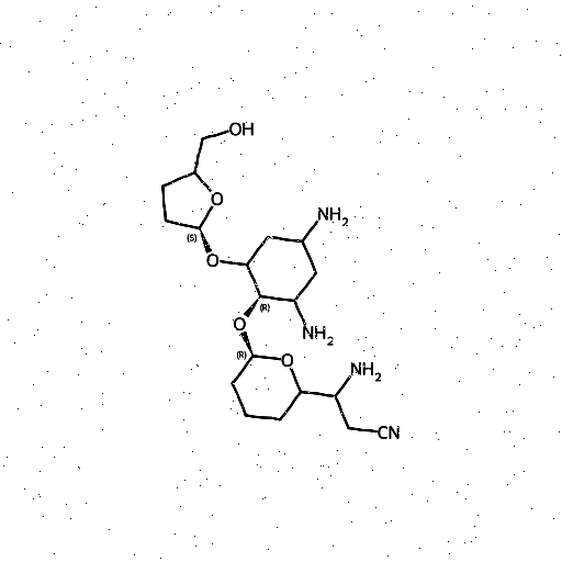 N#CCC(N)C1CCC[C@@H](O[C@@H]2C(N)CC(N)CC2O[C@H]2CCC(CO)O2)O1